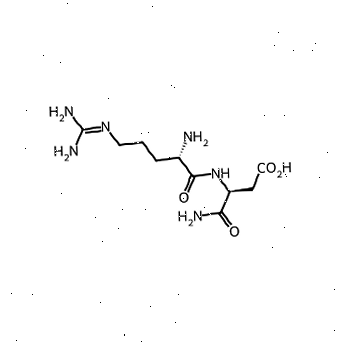 NC(=O)[C@H](CC(=O)O)NC(=O)[C@@H](N)CCCN=C(N)N